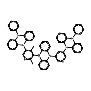 Cc1ncc(N2c3ccccc3N(c3ccccc3)c3ccccc32)c(C)c1B1c2ccccc2N(c2cncc(N3c4ccccc4N(c4ccccc4)c4ccccc43)c2)c2ccccc21